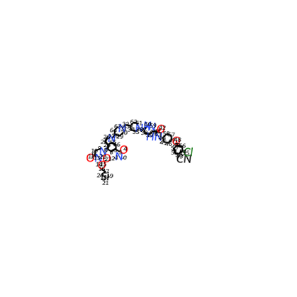 CN(C)C(=O)c1cc(N2CCC(=O)N(COCC[Si](C)(C)C)C2=O)c2ccn(C3CCN(CC4CCN(c5ccc(C(=O)N[C@H]6CC[C@H](Oc7ccc(C#N)c(Cl)c7)CC6)nn5)CC4)CC3)c2c1